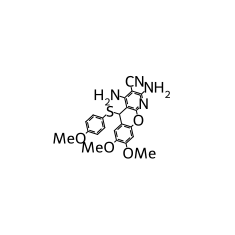 COc1ccc(SC2c3cc(OC)c(OC)cc3Oc3nc(N)c(C#N)c(N)c32)cc1